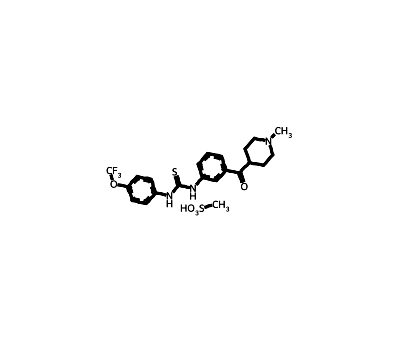 CN1CCC(C(=O)c2cccc(NC(=S)Nc3ccc(OC(F)(F)F)cc3)c2)CC1.CS(=O)(=O)O